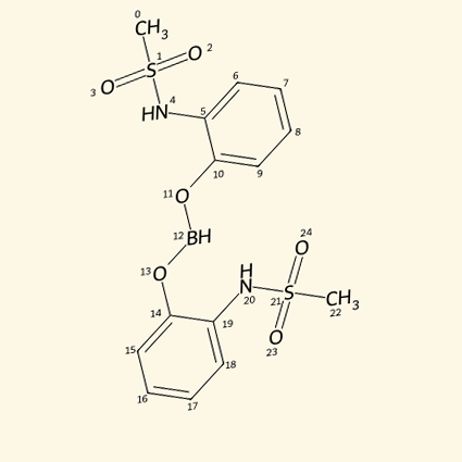 CS(=O)(=O)Nc1ccccc1OBOc1ccccc1NS(C)(=O)=O